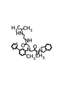 Cc1ccc(-c2cccs2)cc1N(CC(=O)NCCNC(C)C)CC(=O)N(C)N1Cc2ccccc2C1